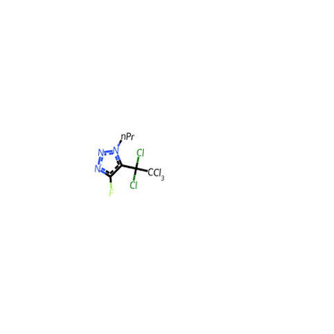 CCCn1nnc(F)c1C(Cl)(Cl)C(Cl)(Cl)Cl